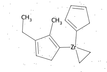 CCC1=CC[C]([Zr]2([C]3=CC=CC3)[CH2][CH2]2)=C1C